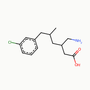 CC(Cc1cccc(Cl)c1)CC(CN)CC(=O)O